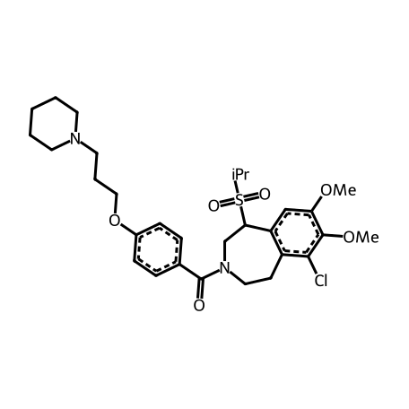 COc1cc2c(c(Cl)c1OC)CCN(C(=O)c1ccc(OCCCN3CCCCC3)cc1)CC2S(=O)(=O)C(C)C